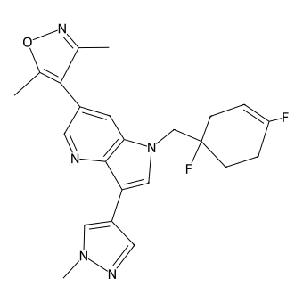 Cc1noc(C)c1-c1cnc2c(-c3cnn(C)c3)cn(CC3(F)CC=C(F)CC3)c2c1